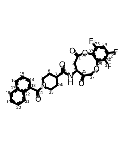 O=C1CC(NC(=O)C2CCN(C(=O)c3cccc4ccccc34)CC2)C(=O)COc2c(F)c(F)cc(F)c2O1